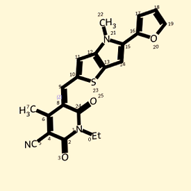 CCN1C(=O)C(C#N)=C(C)/C(=C/c2cc3c(cc(-c4ccco4)n3C)s2)C1=O